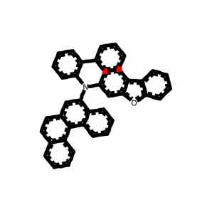 c1ccc(-c2ccccc2N(c2ccc3c(c2)oc2ccccc23)c2cc3ccc4ccccc4c3c3ccccc23)cc1